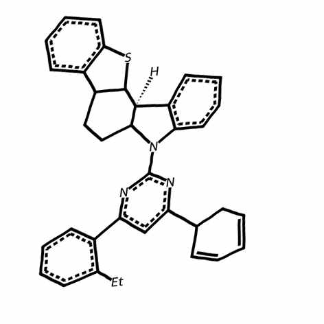 CCc1ccccc1-c1cc(C2C=CC=CC2)nc(N2c3ccccc3[C@@H]3C4Sc5ccccc5C4CCC32)n1